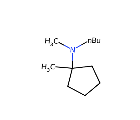 CCCCN(C)C1(C)CCCC1